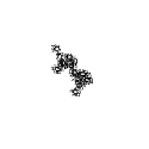 c1ccc(-c2ccc(-c3nc(-c4ccccc4)nc(-c4cc(-c5cccc(-c6ccc7oc8cccc(-n9c%10ccccc%10c%10cc(-c%11ccccc%11)ccc%109)c8c7c6)c5)cc5oc6ccccc6c45)n3)cc2)cc1